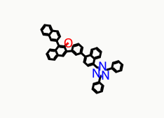 c1ccc(-c2nc(-c3ccccc3)nc(-c3ccc(-c4ccc5oc6c(-c7ccc8ccccc8c7)c7ccccc7cc6c5c4)c4ccccc34)n2)cc1